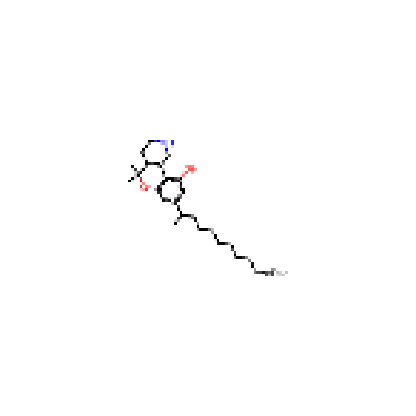 CCCCCCCCCCCCCCCCCCC(C)c1cc(O)c2c(c1)OC(C)(C)C1=C2CNCC1